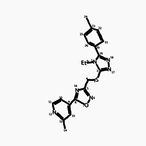 CCn1c(SCc2noc(-c3ccnc(C)c3)n2)nnc1-c1ccc(C)cc1